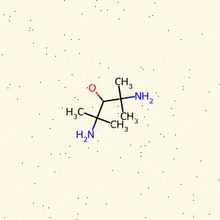 CC(C)(N)C([O])C(C)(C)N